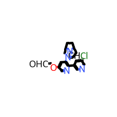 CN1C2CCC1CN(c1cc(OCC=O)cnc1-c1cncc(Cl)c1)CC2